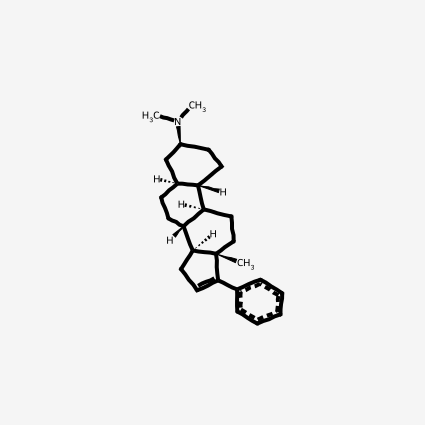 CN(C)[C@H]1CC[C@H]2[C@@H](CC[C@@H]3[C@@H]2CC[C@]2(C)C(c4ccccc4)=CC[C@@H]32)C1